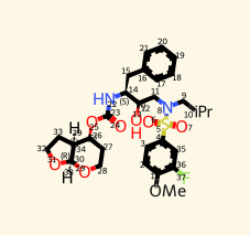 COc1ccc(S(=O)(=O)N(CC(C)C)C[C@@H](O)[C@H](Cc2ccccc2)NC(=O)O[C@H]2CCO[C@H]3OCC[C@H]32)cc1F